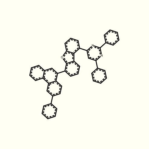 c1ccc(-c2ccc3c(-c4cccc5c4oc4cccc(-c6cc(-c7ccccc7)nc(-c7ccccc7)n6)c45)cc4ccccc4c3c2)cc1